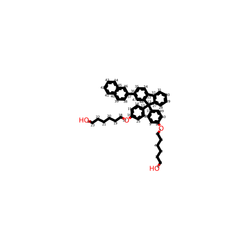 OCCCCCCOc1ccc(C2(c3ccc(OCCCCCCO)cc3)c3ccccc3-c3ccc(-c4ccc5ccccc5c4)cc32)cc1